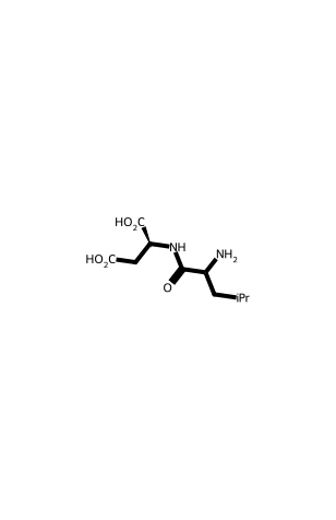 CC(C)CC(N)C(=O)N[C@@H](CC(=O)O)C(=O)O